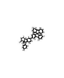 CC1CCC2c3cc(-c4ccc5c(c4)-c4ccccc4C54c5ccccc5-c5ccccc54)ccc3N(c3ccccc3)C12C